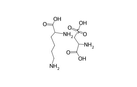 NC(CS(=O)(=O)O)C(=O)O.NCCCCC(N)C(=O)O